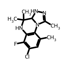 CC1=NNC2N1c1c(C)cc(Cl)c(F)c1NC2(C)C